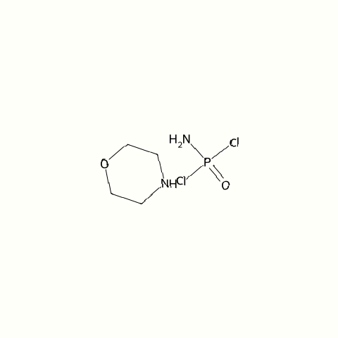 C1COCCN1.NP(=O)(Cl)Cl